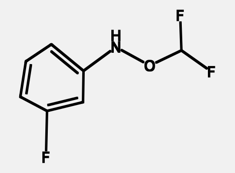 Fc1cccc(NOC(F)F)c1